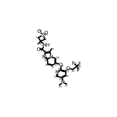 Cc1c(C(=O)NC2(C)CS(=O)(=O)C2)nc2ccc(Oc3ncc(N(C)C)cc3OCC(F)(F)F)cn12